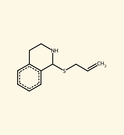 C=CCSC1NCCc2ccccc21